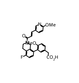 COc1ccc(C=CC(=O)N2CCc3c(F)ccc(-c4cc(CC(=O)O)ccc4OC)c3C2)cn1